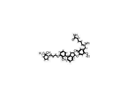 CCOc1cc(O[C@H]2CCc3c(-c4cccc(OCCCN5CCCC5(C)C)c4C)cccc32)c(Cl)cc1CN(CCCCC(N)=O)C(C)C